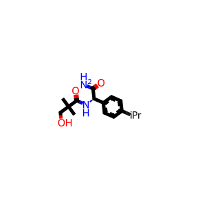 CC(C)c1ccc([C@H](NC(=O)C(C)(C)CO)C(N)=O)cc1